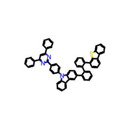 c1ccc(-c2cc(-c3ccccc3)nc(-c3ccc(-n4c5ccccc5c5cc(-c6ccccc6-c6ccccc6-c6cccc7c6sc6ccccc67)ccc54)cc3)n2)cc1